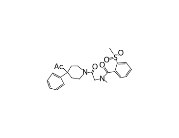 CC(=O)C1(c2ccccc2)CCN(C(=O)CN(C)C(=O)c2ccccc2S(C)(=O)=O)CC1